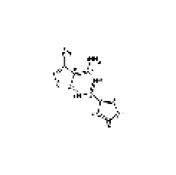 CCCc1c[nH]c2nc(-c3c[nH]nn3)nc(N)c12